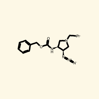 C[C](C)CN1C[C@H](NC(=O)OCc2ccccc2)[C@H](N=[N+]=[N-])C1